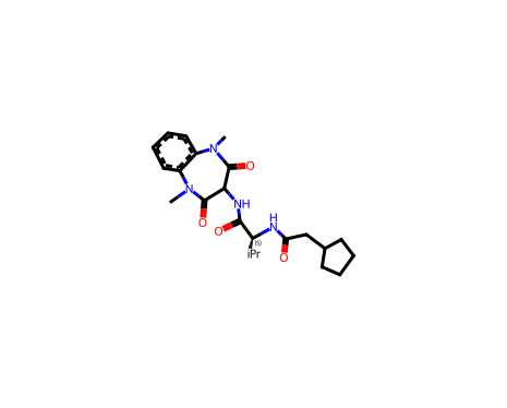 CC(C)[C@H](NC(=O)CC1CCCC1)C(=O)NC1C(=O)N(C)c2ccccc2N(C)C1=O